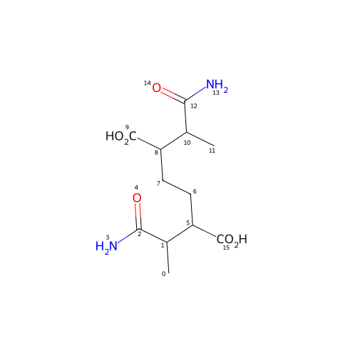 CC(C(N)=O)C(CCC(C(=O)O)C(C)C(N)=O)C(=O)O